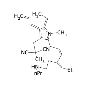 C=C/C=c1/c(CC(C)(C#N)C#N)c(C/C=C\C(=C/CC)CCNCCC)n(C)/c1=C/C